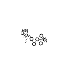 CCCCc1nc(Cl)c(CO)n1Cc1ccc(-c2ccccc2-c2cccc(C(c3ccccc3)(c3ccccc3)n3cnnn3)c2)cc1